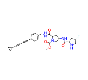 COC(=O)N1C[C@H](NC(=O)[C@@H]2C[C@H](F)CN2)C[C@@H]1C(=O)NCc1ccc(C#CC#CC2CC2)cc1